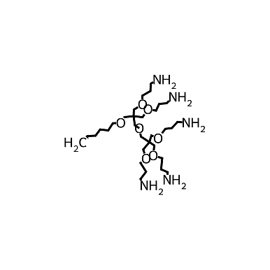 C=CCCCCOCC(COCCCN)(COCCCN)COCC(COCCCN)(COCCCN)COCCCN